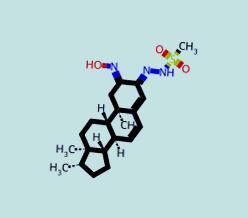 C[C@H]1CC[C@H]2[C@@H]3C=CC4=CC(=NNS(C)(=O)=O)C(=NO)C[C@]4(C)[C@H]3CC[C@]12C